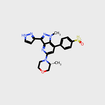 C[C@@H]1COCCN1c1cc(-c2ccc([SH2]=O)cc2)c2c(n1)c(-c1cc[nH]n1)nn2C